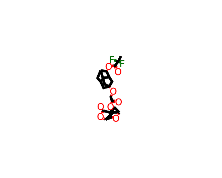 CC(F)(F)C(=O)OC1C2CC3CC1CC(OCC(=O)OC1C4CC5C(=O)OC1C5O4)(C3)C2